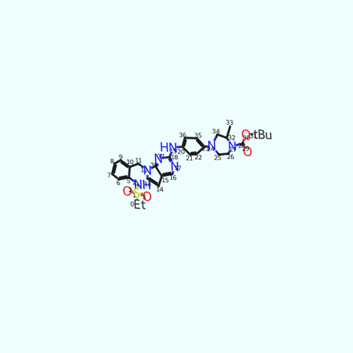 CCS(=O)(=O)Nc1ccccc1Cn1ccc2cnc(Nc3ccc(N4CCN(C(=O)OC(C)(C)C)C(C)C4)cc3)nc21